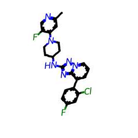 Cc1cc(N2CCC(Nc3nc4c(-c5ccc(F)cc5Cl)cccn4n3)CC2)c(F)cn1